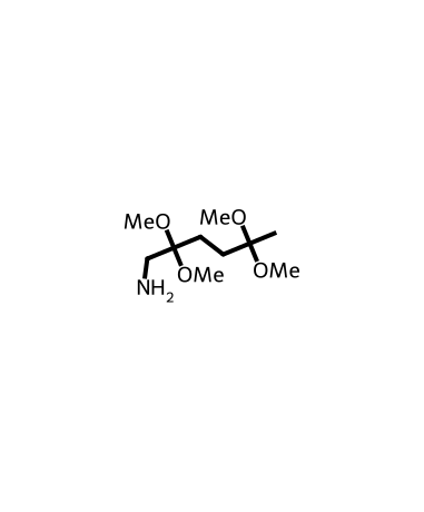 COC(C)(CCC(CN)(OC)OC)OC